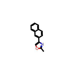 Cc1nc(-c2ccc3ccccc3c2)co1